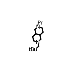 CC(C)N1CCC2CN(CC(C)(C)C)CCC2C1